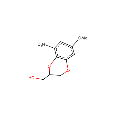 COc1cc2c(c([N+](=O)[O-])c1)OC(CO)CO2